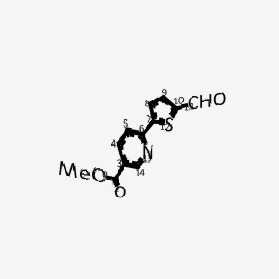 COC(=O)c1ccc(-c2ccc(C=O)s2)nc1